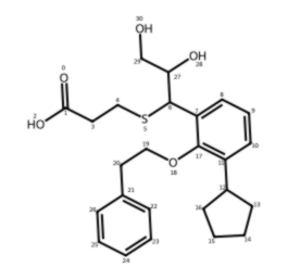 O=C(O)CCSC(c1cccc(C2CCCC2)c1OCCc1ccccc1)C(O)CO